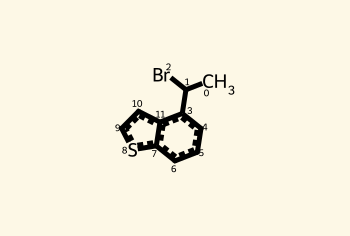 CC(Br)c1cccc2sccc12